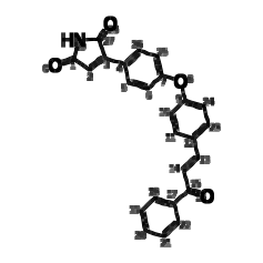 O=C1C=C(c2ccc(Oc3ccc(C=CC(=O)c4ccccc4)cc3)cc2)C(=O)N1